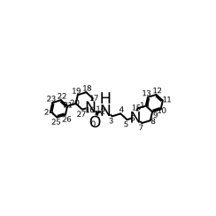 O=C(NCCCN1CCc2ccccc2C1)N1CCCC(c2ccccc2)C1